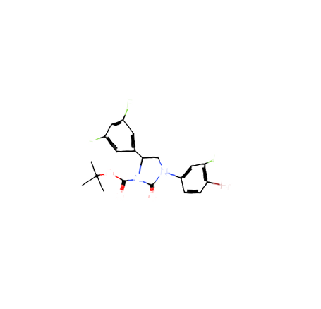 CC(C)(C)OC(=O)N1C(=O)N(c2ccc(Br)c(F)c2)CC1c1cc(F)cc(F)c1